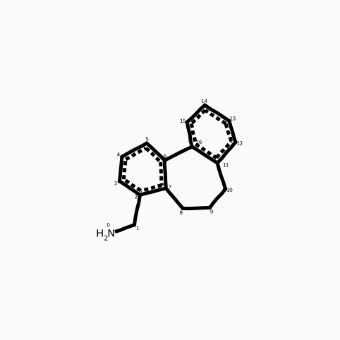 NCc1cccc2c1CCCc1ccccc1-2